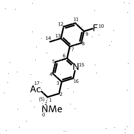 CN[C@@H](Cc1ccc(-c2cc(F)ccc2C)nc1)C(C)=O